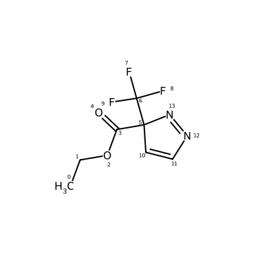 CCOC(=O)C1(C(F)(F)F)C=CN=N1